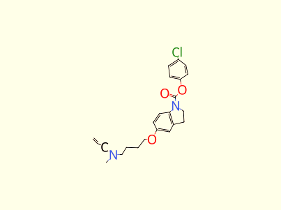 C=CCN(C)CCCCOc1ccc2c(c1)CCN2C(=O)Oc1ccc(Cl)cc1